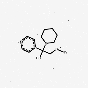 CC(C)OCC(O)(c1cccnc1)N1CCCCC1